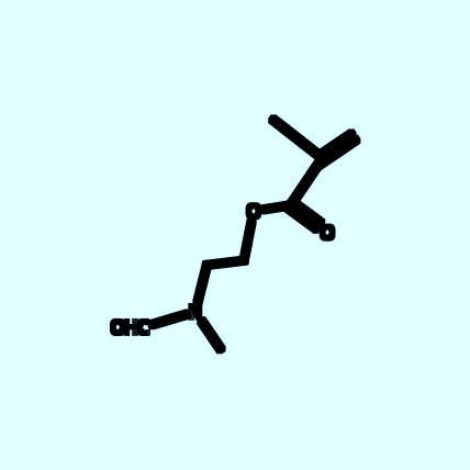 C=C(C)C(=O)OCCN(C)C=O